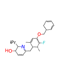 CC1=CC(OCC2C=CC=CC2)=C(F)C(C)C1CC1=NC(C(C)C)C(O)C=C1